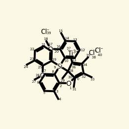 COc1c(C)cccc1[Si](c1cccc(C)c1OC)(c1cccc(C)c1OC)C1(C)C(C)=C(C)C(C)=[C]1[Ti+3].[Cl-].[Cl-].[Cl-]